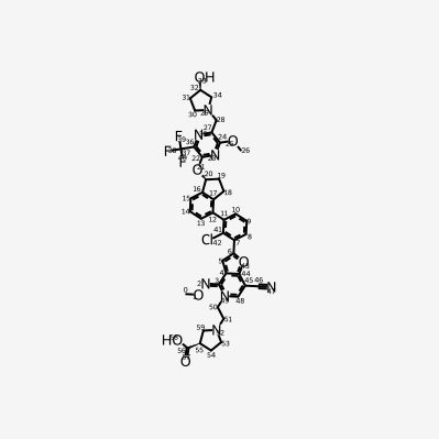 CO/N=c1/c2cc(-c3cccc(-c4cccc5c4CC[C@@H]5Oc4nc(OC)c(CN5CC[C@@H](O)C5)nc4C(F)(F)F)c3Cl)oc2c(C#N)cn1CCN1CC[C@@H](C(=O)O)C1